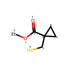 CCOC(=O)C1(CS)CC1